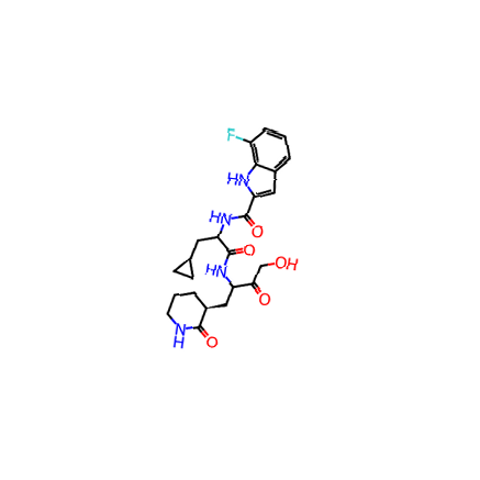 O=C(NC(CC1CC1)C(=O)NC(C[C@@H]1CCCNC1=O)C(=O)CO)c1cc2cccc(F)c2[nH]1